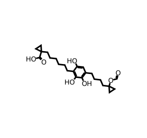 O=COC1(CCCCc2cc(O)c(CCCCCCC3(C(=O)O)CC3)c(O)c2O)CC1